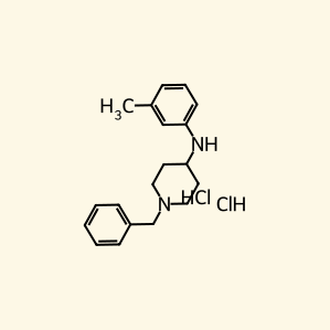 Cc1cccc(NC2CCN(Cc3ccccc3)CC2)c1.Cl.Cl